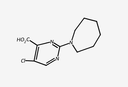 O=C(O)c1nc(N2CCCCCC2)ncc1Cl